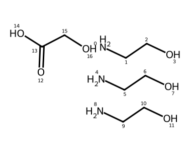 NCCO.NCCO.NCCO.O=C(O)CO